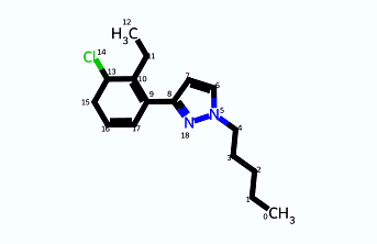 CCCCCn1ccc(C2=C(CC)C(Cl)CC=C2)n1